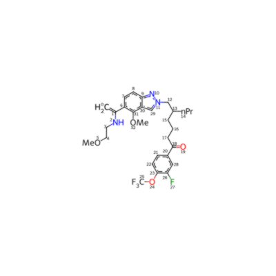 C=C(NCCOC)c1ccc2nn(CC(CCC)CCCC(=O)c3ccc(OC(F)(F)F)c(F)c3)cc2c1OC